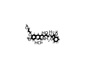 COCCCOc1cc(CC(CC(N)C(O)CNC(=O)[C@](C)(OC)C2CCCCC2)C(C)C)ccc1OC.Cl